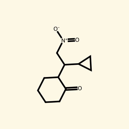 O=C1CCCCC1C(C[N+](=O)[O-])C1CC1